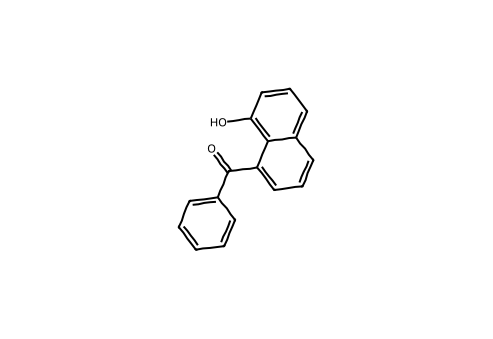 O=C(c1ccccc1)c1cccc2cccc(O)c12